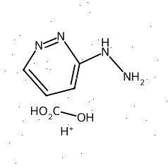 NNc1cccnn1.O=C(O)O.[H+]